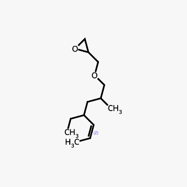 C/C=C\C(CC)CC(C)COCC1CO1